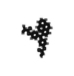 C=CC(=O)Oc1ccc(N(c2ccc(OC(=O)C(=C)C)cc2)c2ccc3ccc4cccc5ccc2c3c45)cc1